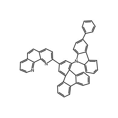 c1ccc(-c2ccc3c(c2)c2ccccc2n3-c2cc(-c3ccc4ccc5cccnc5c4n3)cc3c4ccccc4c4ccccc4c23)cc1